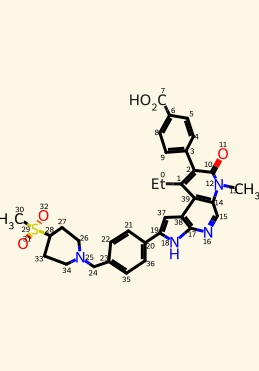 CCc1c(-c2ccc(C(=O)O)cc2)c(=O)n(C)c2cnc3[nH]c(-c4ccc(CN5CCC(S(C)(=O)=O)CC5)cc4)cc3c12